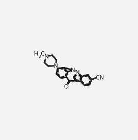 CN1CCN(c2ccc3c4c2N4n2cc(c4ccc(C#N)cc42)C3=O)CC1